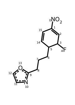 O=[N+]([O-])C1=CC(F)C(CCCc2ncco2)C=C1